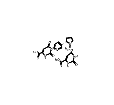 CN1CCC[C@H]1c1cccnc1.O=C(O)c1cc(=O)[nH]c(=O)[nH]1.O=C(O)c1cc(=O)[nH]c(=O)[nH]1